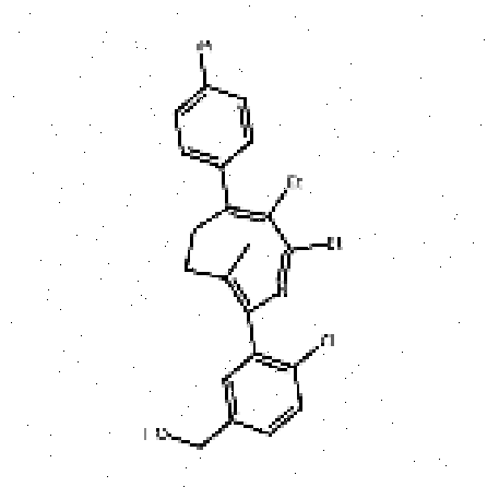 CCC1=N/C(c2cc(CO)ccc2Cl)=C(\C)CC/C(c2ccc(C(C)C)cc2)=C\1CC